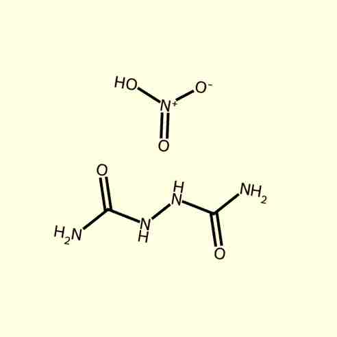 NC(=O)NNC(N)=O.O=[N+]([O-])O